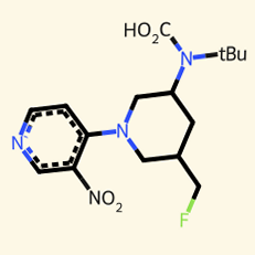 CC(C)(C)N(C(=O)O)C1CC(CF)CN(c2ccncc2[N+](=O)[O-])C1